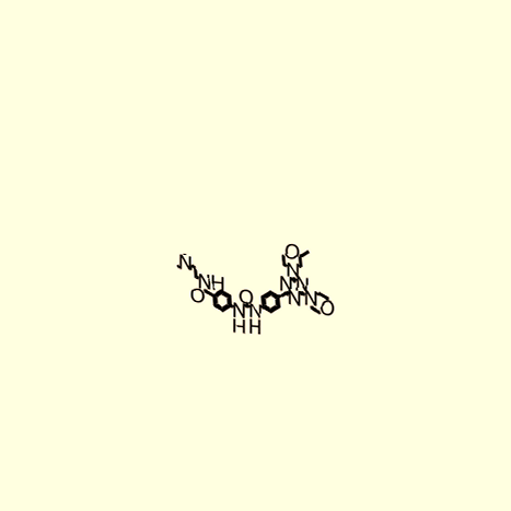 CC1CN(c2nc(-c3ccc(NC(=O)Nc4ccc(C(=O)NCCN(C)C)cc4)cc3)nc(N3CCOCC3)n2)CCO1